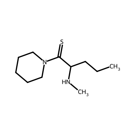 CCCC(NC)C(=S)N1CCCCC1